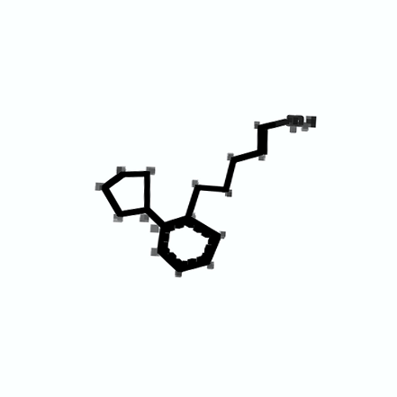 O=S(=O)(O)C=CCCCc1ccccc1C1CCCC1